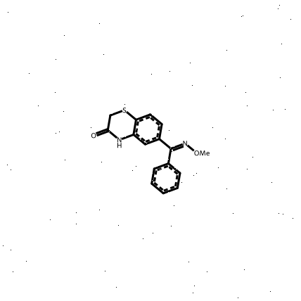 CON=C(c1ccccc1)c1ccc2c(c1)NC(=O)CS2